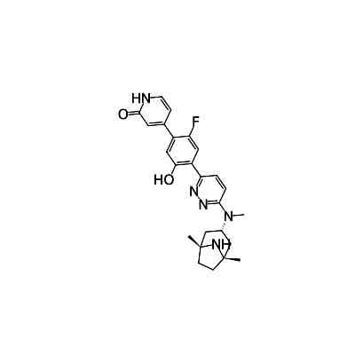 CN(c1ccc(-c2cc(F)c(-c3cc[nH]c(=O)c3)cc2O)nn1)[C@@H]1C[C@]2(C)CC[C@](C)(C1)N2